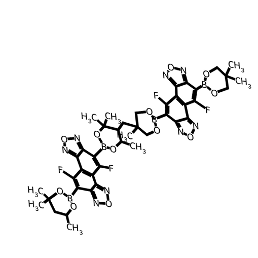 CC1CC(C)(C)OB(c2c(F)c3c4nonc4c(B4OC(C)C(CC5(C)COB(c6c(F)c7c8nonc8c(B8OCC(C)(C)CO8)c(F)c7c7nonc67)OC5)C(C)(C)O4)c(F)c3c3nonc23)O1